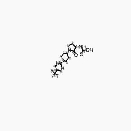 O=C(O)N[C@@H]1CCN(C2CCN(c3ncc(C(F)(F)F)cn3)CC2)C1=O